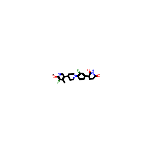 COc1ncc(C2CCN(c3ccc(C4CCC(=O)NC4=O)cc3F)CC2)c(C)c1F